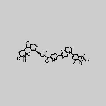 Cc1cc(N2CCCc3nc(-c4ccc(C(=O)NCC#Cc5ccc6occ(C7CCC(=O)NC7=O)c6c5)nc4)ncc32)cc2c1n(C)c(=O)n2C